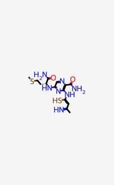 CSCC[C@@H](Nc1cnc(C(N)=O)c(N/C(S)=C/C(C)=N)n1)C(N)=O